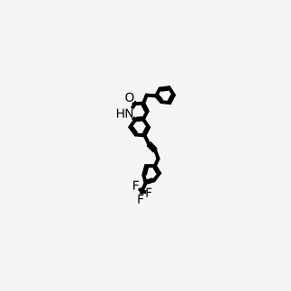 O=c1[nH]c2ccc(C#CCc3ccc(C(F)(F)F)cc3)cc2cc1Cc1ccccc1